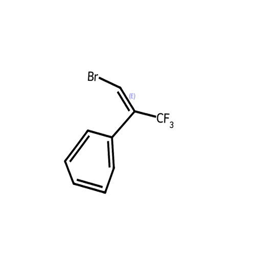 FC(F)(F)/C(=C/Br)c1ccccc1